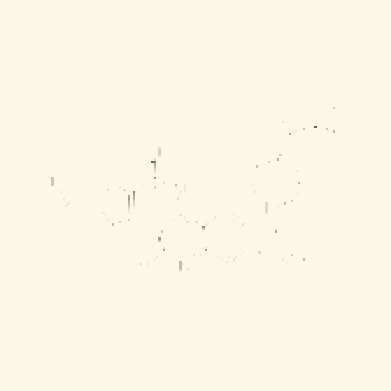 COc1cc2nc(C)nc(N[C@H](C)c3ccc(C(F)F)s3)c2cc1P1(=O)CCN(C(=O)C2CC2)CC1